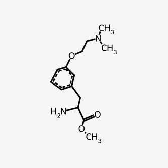 COC(=O)C(N)Cc1cccc(OCCN(C)C)c1